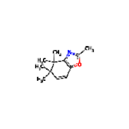 Cc1nc2c(o1)C=CC(C)(C)C2(C)C